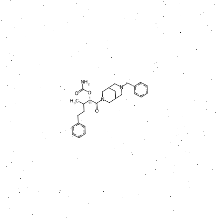 CC(CCc1ccccc1)[C@H](OC(N)=O)C(=O)N1CC2CC(CN(Cc3ccccc3)C2)C1